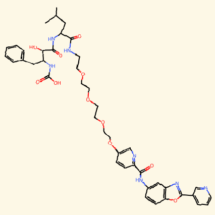 CC(C)CC(NC(=O)C(O)C(Cc1ccccc1)NC(=O)O)C(=O)NCCOCCOCCOCCOc1ccc(C(=O)Nc2ccc3oc(-c4cccnc4)nc3c2)nc1